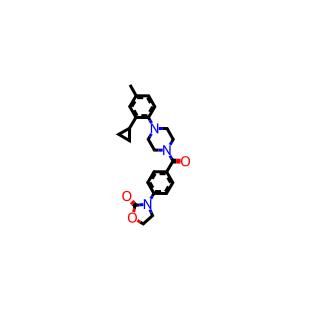 Cc1ccc(N2CCN(C(=O)c3ccc(N4CCOC4=O)cc3)CC2)c(C2CC2)c1